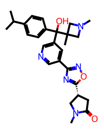 CC(C)c1ccc(C(O)(c2cncc(-c3noc([C@@H]4CC(=O)N(C)C4)n3)c2)C2(C)CN(C)C2)cc1